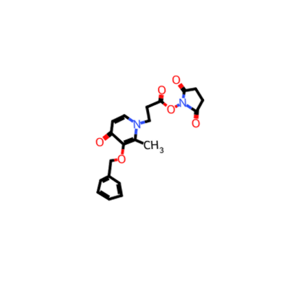 Cc1c(OCc2ccccc2)c(=O)ccn1CCC(=O)ON1C(=O)CCC1=O